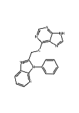 c1ccc(-n2c(CSc3ncnc4[nH]cnc34)nc3cccnc32)cc1